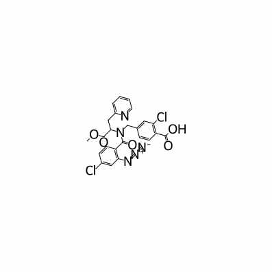 COC(=O)C(Cc1ccccn1)N(Cc1ccc(C(=O)O)c(Cl)c1)C(=O)c1ccc(Cl)cc1N=[N+]=[N-]